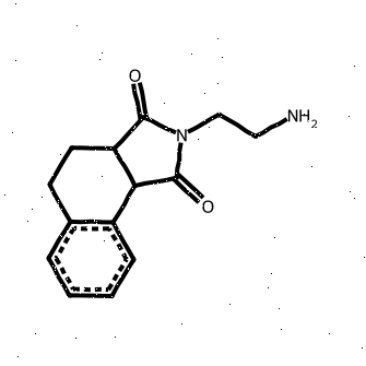 NCCN1C(=O)C2CCc3ccccc3C2C1=O